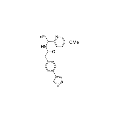 CCCC(NC(=O)Cc1ccc(-c2ccsc2)cc1)c1ccc(OC)cn1